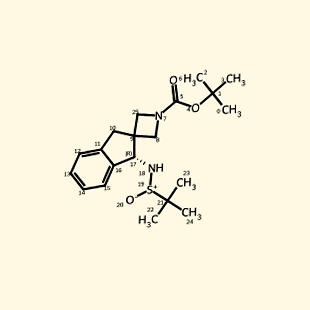 CC(C)(C)OC(=O)N1CC2(Cc3ccccc3[C@H]2N[S+]([O-])C(C)(C)C)C1